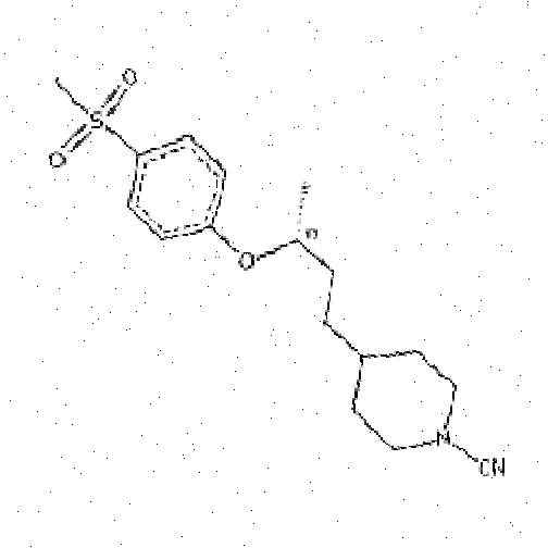 C[C@H](CCC1CCN(C#N)CC1)Oc1ccc(S(C)(=O)=O)cc1